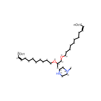 CCCCCCCC/C=C\CCCCCCCCOCC(C)OCCCCCCCC/C=C\CCCCCCCC.CN1CCNCC1